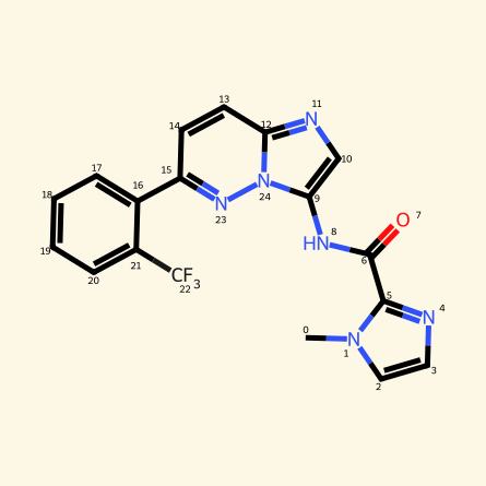 Cn1ccnc1C(=O)Nc1cnc2ccc(-c3ccccc3C(F)(F)F)nn12